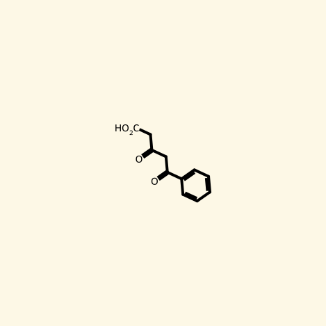 O=C(O)CC(=O)CC(=O)c1ccccc1